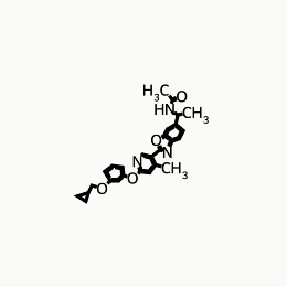 CC(=O)NC(C)c1ccc2nc(-c3cnc(Oc4cccc(OCC5CC5)c4)cc3C)oc2c1